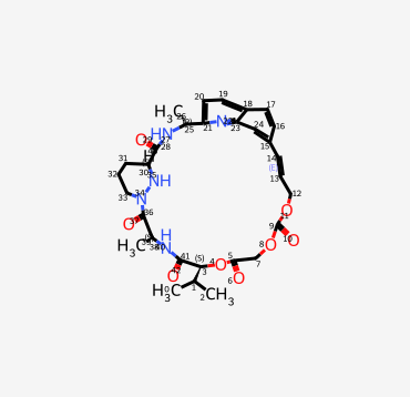 CC(C)[C@@H]1OC(=O)COC(=O)OC/C=C/c2ccc3ccc(nc3c2)[C@@H](C)NC(=O)[C@@H]2CCCN(N2)C(=O)[C@H](C)NC1=O